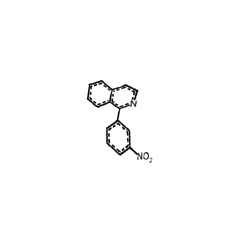 O=[N+]([O-])c1cccc(-c2nccc3ccccc23)c1